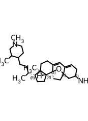 CC1CN(C)CCC1CCC(C)[C@H]1CC[C@@H]2[C@]1(C)CCC1=CC3=CC[C@@H](N)C[C@]34CC[C@@]12O4